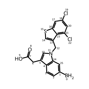 Bc1ccc2c(CC(=O)O)cn(Cc3csc4cc(Cl)cc(Cl)c34)c2c1